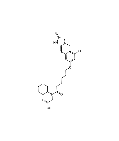 O=C(O)CN(C(=O)CCCCCOc1cc(Cl)c2c(c1)N=C1NC(=O)CN1C2)C1CCCCC1